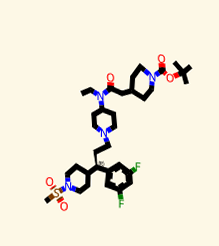 CCN(C(=O)CC1CCN(C(=O)OC(C)(C)C)CC1)C1CCN(CC[C@@H](c2cc(F)cc(F)c2)C2CCN(S(C)(=O)=O)CC2)CC1